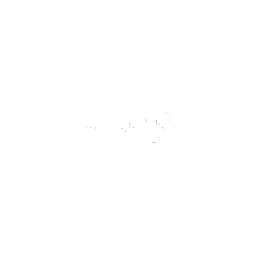 COc1ccc2c(c1)c(CC(=O)OC(C)CN1CCN(CCCCCCOC3CCCCO3)CC1)c(C)n2C(=O)c1ccc(Cl)cc1